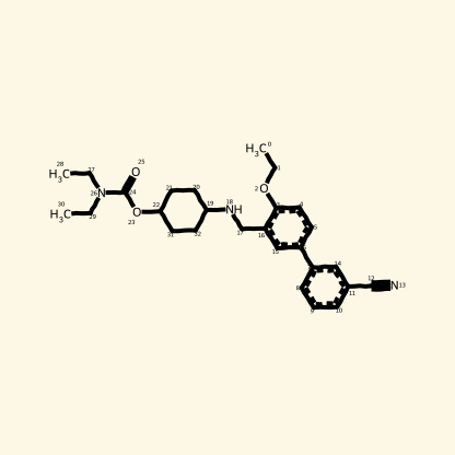 CCOc1ccc(-c2cccc(C#N)c2)cc1CNC1CCC(OC(=O)N(CC)CC)CC1